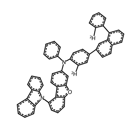 [2H]c1ccccc1-c1cccc2ccc(-c3ccc(N(c4ccccc4)c4ccc5c(c4)oc4cccc(-n6c7ccccc7c7ccccc76)c45)c([2H])c3)cc12